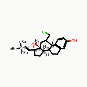 CCC[CH2][Sn](/[CH]=C/[C@]1(O)CC[C@H]2[C@@H]3CCc4cc(O)ccc4[C@H]3C(CCl)C[C@@]21C)([CH2]CCC)[CH2]CCC